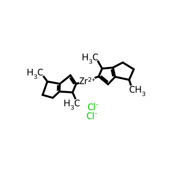 CC1CCC2=C1C=[C]([Zr+2][C]1=CC3=C(CCC3C)C1C)C2C.[Cl-].[Cl-]